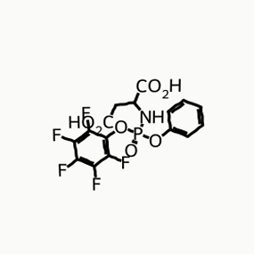 O=C(O)CC(NP(=O)(Oc1ccccc1)Oc1c(F)c(F)c(F)c(F)c1F)C(=O)O